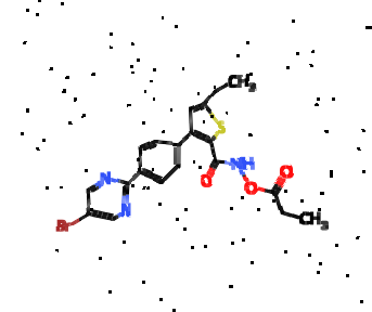 CCC(=O)ONC(=O)c1sc(CC)cc1-c1ccc(-c2ncc(Br)cn2)cc1